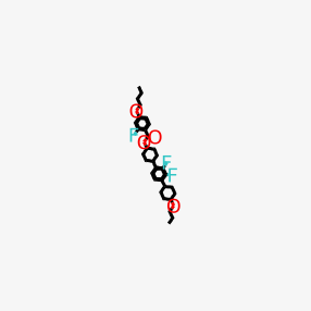 CCCCOc1ccc(C(=O)OC2CCC(c3ccc(C4CCC(OCCC)CC4)c(F)c3F)CC2)c(F)c1